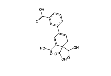 O=C(O)C1=CC(c2cccc(C(=O)O)c2)=CCC1(C(=O)O)C(=O)O